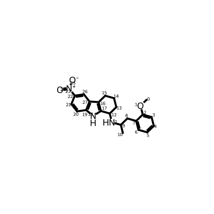 COc1ccccc1CC(C)NC1CCCc2c1[nH]c1ccc([N+](=O)[O-])cc21